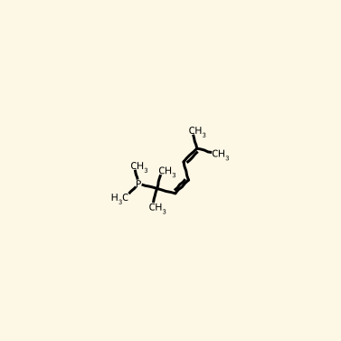 CC(C)=C/C=C\C(C)(C)P(C)C